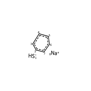 [Na+].[SH-].c1ccccc1